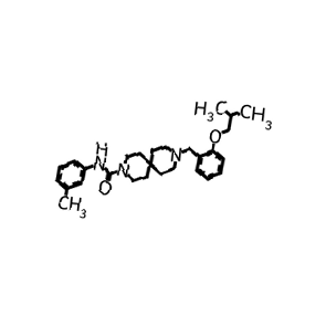 Cc1cccc(NC(=O)N2CCC3(CCN(Cc4ccccc4OCC(C)C)CC3)CC2)c1